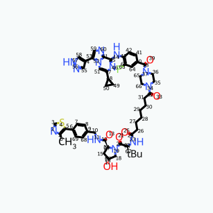 Cc1ncsc1-c1ccc(CNC(=O)[C@@H]2C[C@@H](O)CN2C(=O)[C@@H](NC(=O)CCCCCCC(=O)N2CCN(C(=O)c3ccc(Nc4nc(C5CC5)cn5c(-c6cn[nH]c6)cnc45)c(F)c3)CC2)C(C)(C)C)cc1